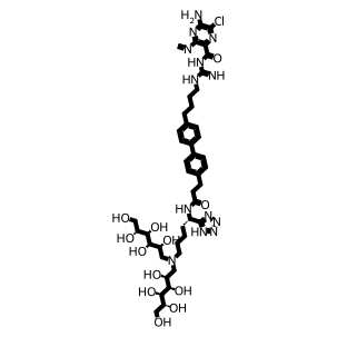 C=Nc1nc(N)c(Cl)nc1C(=O)NC(=N)NCCCCc1ccc(-c2ccc(CCC(=O)N[C@@H](CCCCN(C[C@H](O)[C@@H](O)[C@H](O)[C@H](O)CO)C[C@H](O)[C@@H](O)[C@H](O)[C@H](O)CO)c3nnn[nH]3)cc2)cc1